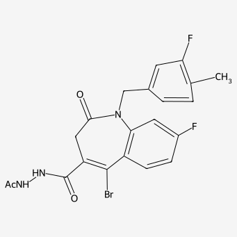 CC(=O)NNC(=O)C1=C(Br)c2ccc(F)cc2N(Cc2ccc(C)c(F)c2)C(=O)C1